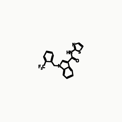 O=C(Nc1nccs1)c1cn(Cc2ccccc2C(F)(F)F)c2ccccc12